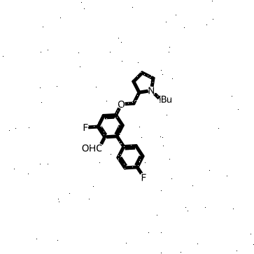 CCC(C)N1CCCC1COc1cc(F)c(C=O)c(-c2ccc(F)cc2)c1